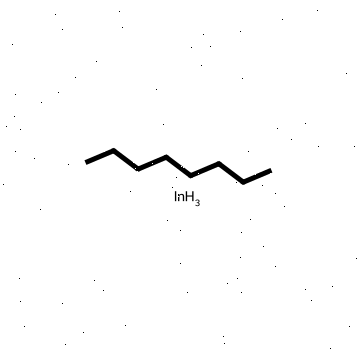 CCCCCCCC.[InH3]